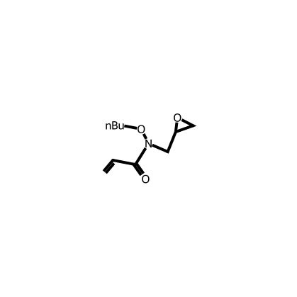 C=CC(=O)N(CC1CO1)OCCCC